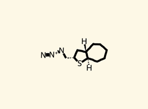 [N-]=[N+]=NC[C@@H]1C[C@@H]2CCCCC[C@H]2S1